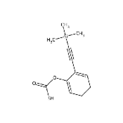 C[Si](C)(C)C#CC1=CCCC=C1OC(=O)S